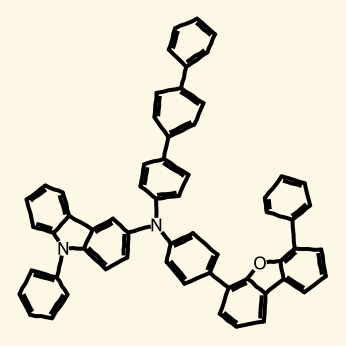 c1ccc(-c2ccc(-c3ccc(N(c4ccc(-c5cccc6c5oc5c(-c7ccccc7)cccc56)cc4)c4ccc5c(c4)c4ccccc4n5-c4ccccc4)cc3)cc2)cc1